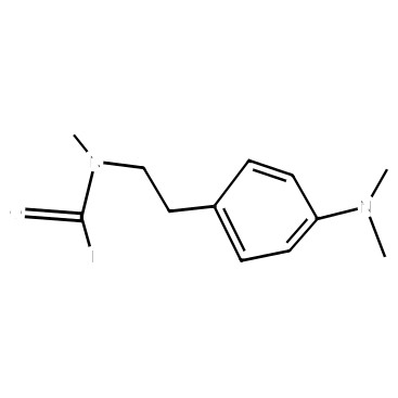 CN(CCc1ccc(N(C)C)cc1)C(=O)I